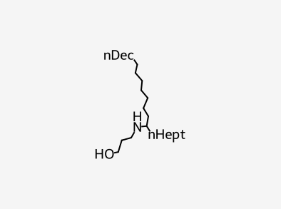 CCCCCCCCCCCCCCCCCC(CCCCCCC)NCCCO